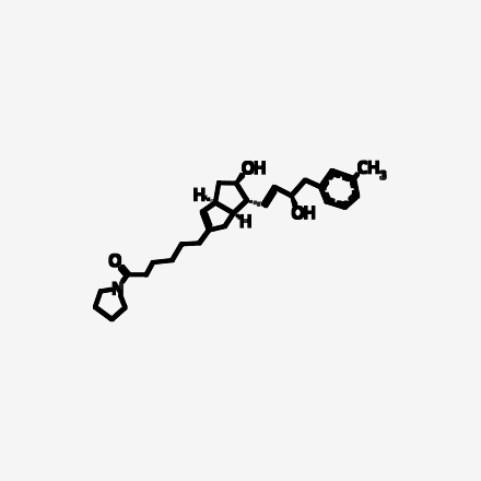 Cc1cccc(C[C@@H](O)/C=C/[C@@H]2[C@H]3CC(CCCCCC(=O)N4CCCC4)=C[C@H]3C[C@H]2O)c1